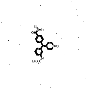 CCOC(=O)Nc1cccc(C(=C2CCN(CC)CC2)c2ccc(C(=O)N(CC)CC)cc2)c1